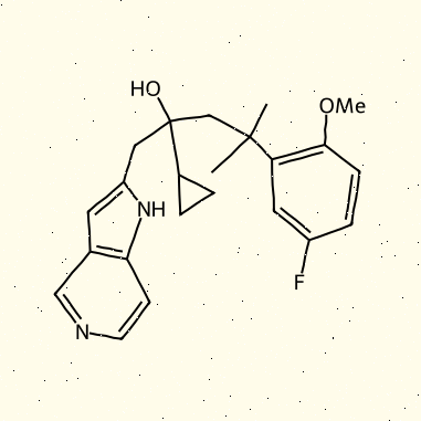 COc1ccc(F)cc1C(C)(C)CC(O)(Cc1cc2cnccc2[nH]1)C1CC1